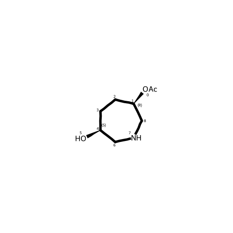 CC(=O)O[C@@H]1CC[C@H](O)CNC1